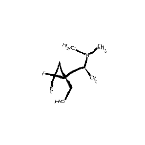 C[C@H](N(C)C)[C@@]1(CO)CC1(F)F